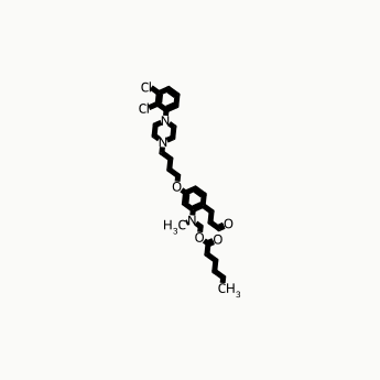 CCCCCC(=O)OCN(C)c1cc(OCCCCN2CCN(c3cccc(Cl)c3Cl)CC2)ccc1CCC=O